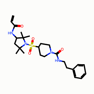 C=CC(=O)NC1CC(C)(C)N(S(=O)(=O)C2CCN(C(=O)NCCc3ccccc3)CC2)C1(C)C